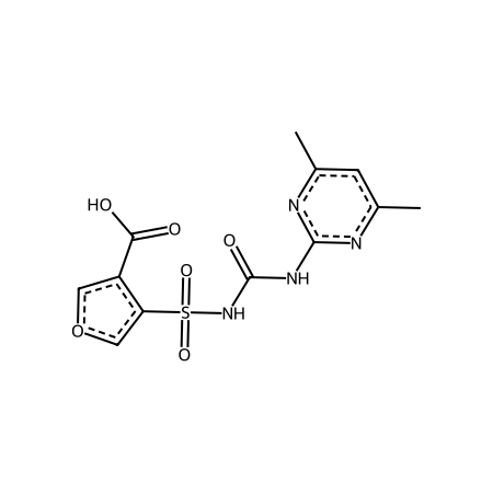 Cc1cc(C)nc(NC(=O)NS(=O)(=O)c2cocc2C(=O)O)n1